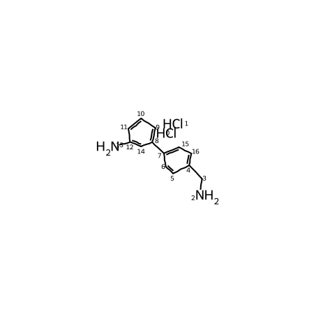 Cl.Cl.NCc1ccc(-c2cccc(N)c2)cc1